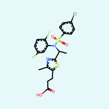 Cc1nc(C(C)N(c2cc(F)ccc2F)S(=O)(=O)c2ccc(Cl)cc2)sc1CCC(=O)O